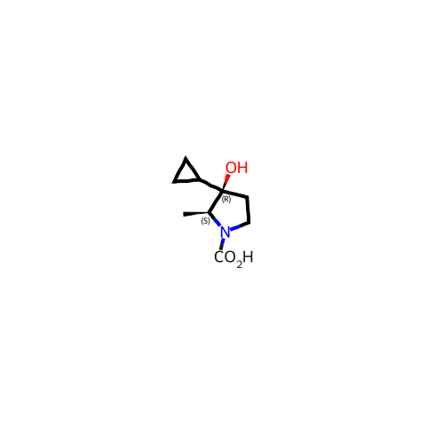 C[C@@H]1N(C(=O)O)CC[C@@]1(O)C1CC1